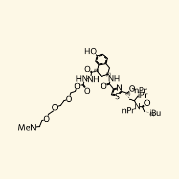 CCCO[C@H](CC(C(C)C)N(CCC)C(=O)C[C@@H](C)CC)c1nc(C(=O)N[C@H]2Cc3ccc(O)cc3[C@H](C(=O)NNC(=O)OCCOCCOCCOCCNC)C2)cs1